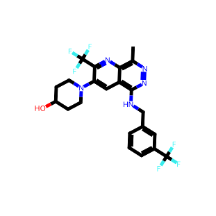 Cc1nnc(NCc2cccc(C(F)(F)F)c2)c2cc(N3CCC(O)CC3)c(C(F)(F)F)nc12